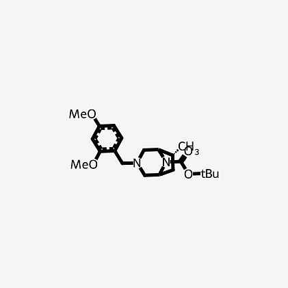 COc1ccc(CN2CC3C[C@@H](C)C(C2)N3C(=O)OC(C)(C)C)c(OC)c1